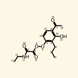 CCCc1c(OOC(=O)C(=O)NCC)ccc(C(C)=O)c1O